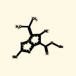 [C-]#[N+]c1c(C(=O)OC(C)(C)C)c2nc(C(C)(C)C)nn2c1=C(C)C